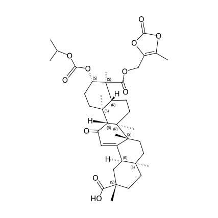 Cc1oc(=O)oc1COC(=O)[C@]1(C)[C@@H](OC(=O)OC(C)C)CC[C@@]2(C)[C@H]1CC[C@]1(C)[C@@H]2C(=O)C=C2[C@@H]3C[C@@](C)(C(=O)O)CC[C@]3(C)CC[C@]21C